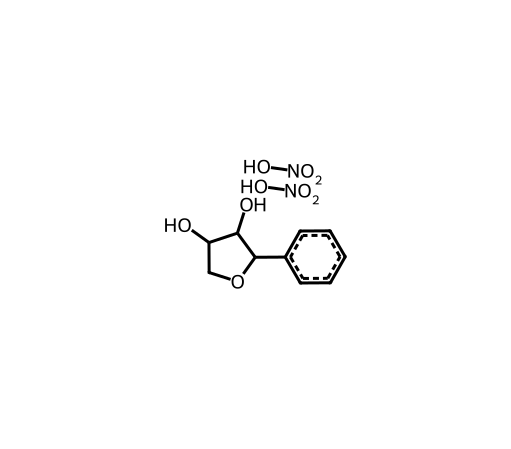 O=[N+]([O-])O.O=[N+]([O-])O.OC1COC(c2ccccc2)C1O